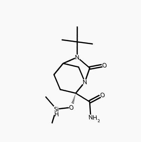 C[SiH](C)O[C@]1(C(N)=O)CCC2CN1C(=O)N2C(C)(C)C